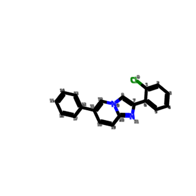 Clc1ccccc1-c1cn2cc(-c3c[c]ccc3)ccc2n1